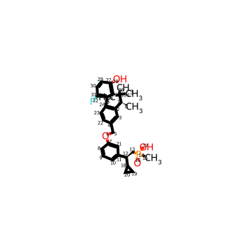 C[C@H](c1cc(COc2cccc([C@@H](CP(C)(=O)O)C3CC3)c2)ccc1-c1cc(O)ccc1F)C(C)(C)C